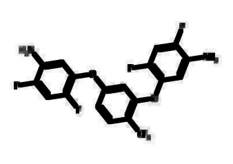 Nc1cc(Oc2ccc(C(F)(F)F)c(Oc3cc(N)c(F)cc3F)c2)c(F)cc1F